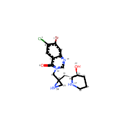 O=c1c2cc(Cl)c(Br)cc2ncn1CC1(C[C@H]2NCCC[C@@H]2O)CN1